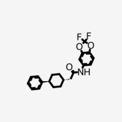 O=C(C[C@H]1CC[C@H](c2ccccc2)CC1)Nc1ccc2c(c1)OC(F)(F)O2